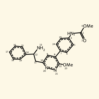 COC(=O)Nc1ccc(-c2cc(CC(N)c3ccccc3)nnc2OC)cc1